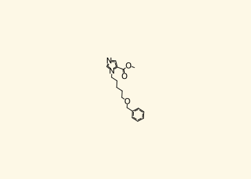 COC(=O)c1cncn1CCCCCOCc1ccccc1